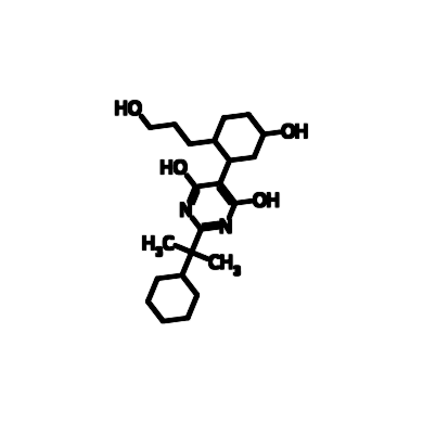 CC(C)(c1nc(O)c(C2CC(O)CCC2CCCO)c(O)n1)C1CCCCC1